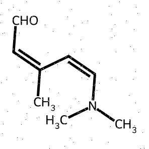 CC(/C=C\N(C)C)=C/C=O